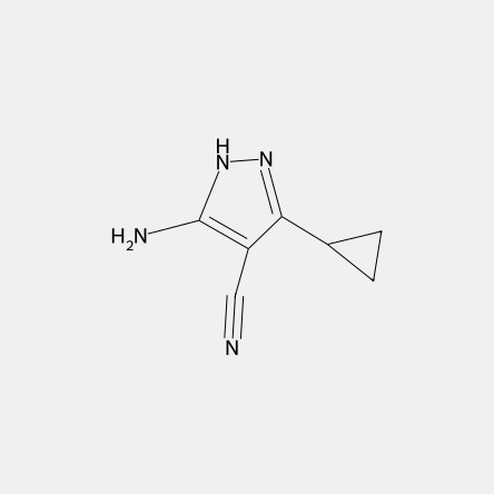 N#Cc1c(C2CC2)n[nH]c1N